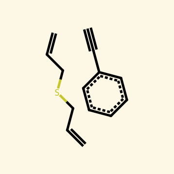 C#Cc1ccccc1.C=CCSCC=C